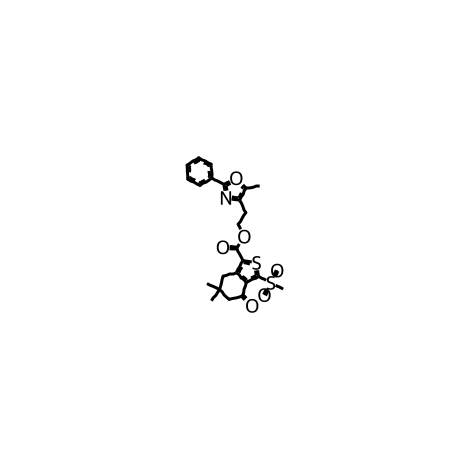 Cc1oc(-c2ccccc2)nc1CCOC(=O)c1sc(S(C)(=O)=O)c2c1CC(C)(C)CC2=O